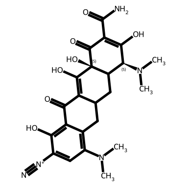 CN(C)c1cc([N+]#N)c(O)c2c1CC1CC3[C@H](N(C)C)C(O)=C(C(N)=O)C(=O)[C@@]3(O)C(O)=C1C2=O